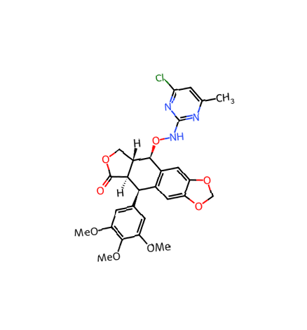 COc1cc([C@@H]2c3cc4c(cc3[C@H](ONc3nc(C)cc(Cl)n3)[C@H]3COC(=O)[C@H]23)OCO4)cc(OC)c1OC